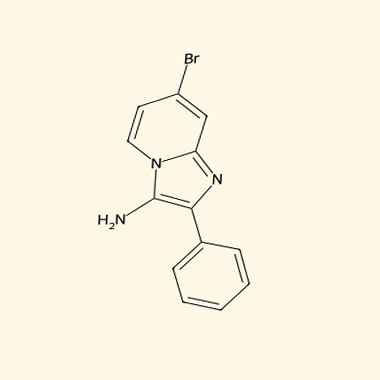 Nc1c(-c2ccccc2)nc2cc(Br)ccn12